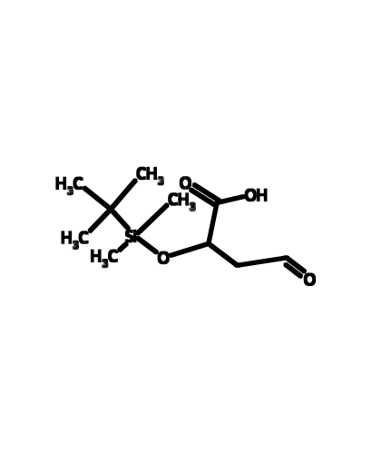 CC(C)(C)[Si](C)(C)OC(CC=O)C(=O)O